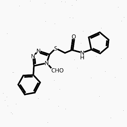 O=Cn1c(SCC(=O)Nc2ccccc2)nnc1-c1ccccc1